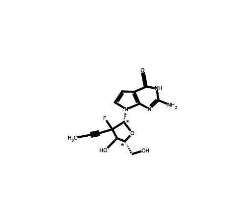 CC#CC1(F)C(O)[C@@H](CO)O[C@H]1n1ccc2c(=O)[nH]c(N)nc21